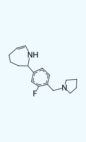 Fc1cc(C2CCCC=CN2)ccc1CN1CCCC1